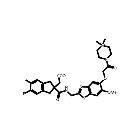 COc1cc2sc(CNC(=O)C3(CC(=O)[O-])Cc4cc(F)c(F)cc4C3)nc2cc1OCC(=O)N1CC[N+](C)(C)CC1